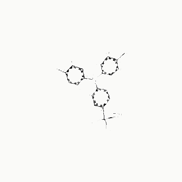 Cc1ccc(N(c2ccc(C)cc2)c2ccc(C(F)(F)F)cc2)cc1